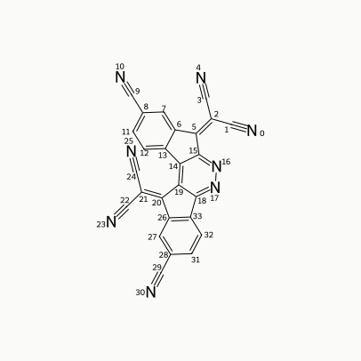 N#CC(C#N)=C1c2cc(C#N)ccc2-c2c1nnc1c2C(=C(C#N)C#N)c2cc(C#N)ccc2-1